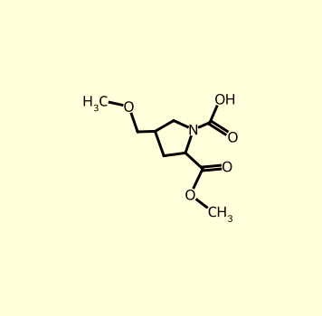 COCC1CC(C(=O)OC)N(C(=O)O)C1